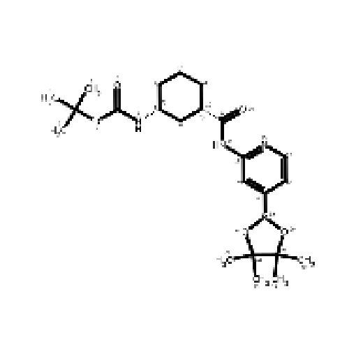 CC(C)(C)OC(=O)N[C@@H]1CCC[C@H](C(=O)Nc2cc(B3OC(C)(C)C(C)(C)O3)ccn2)C1